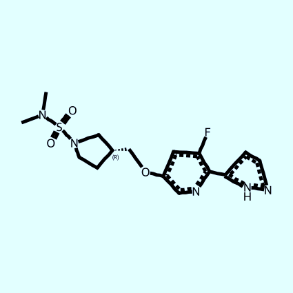 CN(C)S(=O)(=O)N1CC[C@@H](COc2cnc(-c3ccn[nH]3)c(F)c2)C1